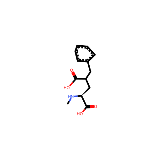 CN[C@@H](CC(Cc1ccccc1)C(=O)O)C(=O)O